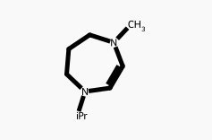 CC(C)N1C=CN(C)CCC1